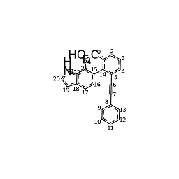 O=C(O)c1cccc(C#Cc2ccccc2)c1-c1ccc2cc[nH]c2c1F